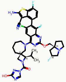 CC(C)[C@H]1N(C(=O)n2cnc(O)n2)C[C@]12CCCCN(c1nc(OC[C@@]34CCCN3C[C@H](F)C4)nc3c(F)c(-c4ccc(F)c5sc(N)c(C#N)c45)c(Cl)cc13)C2